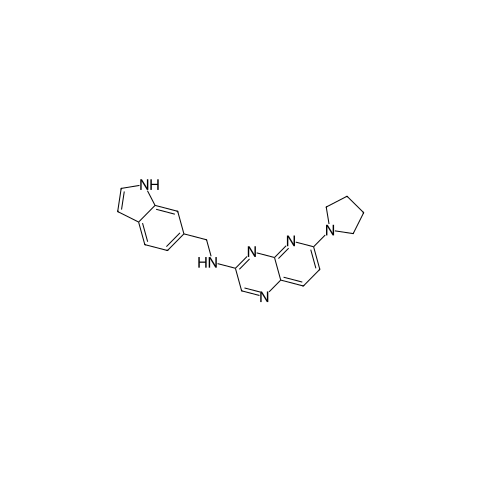 c1cc2ccc(CNc3cnc4ccc(N5CCCC5)nc4n3)cc2[nH]1